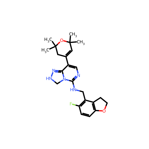 CC1(C)C=C(C2=CN=C(NCc3c(F)ccc4c3CCO4)N3CNN=C23)CC(C)(C)O1